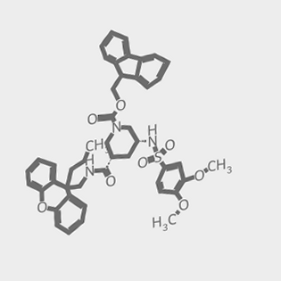 CCCC1(CNC(=O)[C@H]2C[C@@H](NS(=O)(=O)c3ccc(OC)c(OC)c3)CN(C(=O)OCC3c4ccccc4-c4ccccc43)C2)c2ccccc2Oc2ccccc21